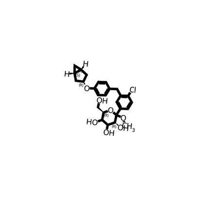 COC1(c2ccc(Cl)c(Cc3ccc(O[C@@H]4C[C@@H]5C[C@@H]5C4)cc3)c2)O[C@H](CO)C(O)C(O)[C@H]1O